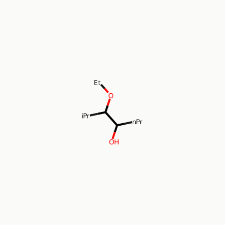 CCCC(O)C(OCC)C(C)C